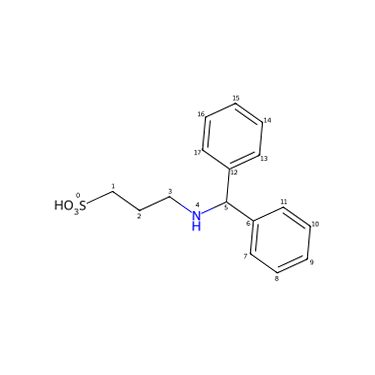 O=S(=O)(O)CCCNC(c1ccccc1)c1ccccc1